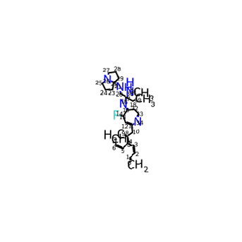 C=C\C=C/C(/C=C\C)=C(/C)CC1=CC(F)/C(=N/C(CC)(CNC23CCCN2CCC3)NC)CC=N1